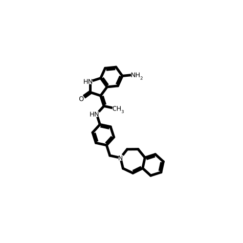 C/C(Nc1ccc(CN2CC=C3CC=CC=C3CC2)cc1)=C1/C(=O)Nc2ccc(N)cc21